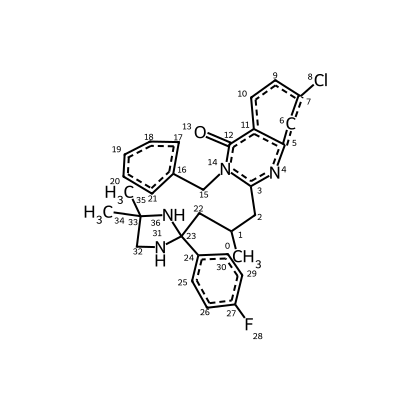 CC(Cc1nc2cc(Cl)ccc2c(=O)n1Cc1ccccc1)CC1(c2ccc(F)cc2)NCC(C)(C)N1